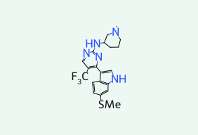 CSc1ccc2c(-c3nc(NC4CCCN(C)C4)ncc3C(F)(F)F)c[nH]c2c1